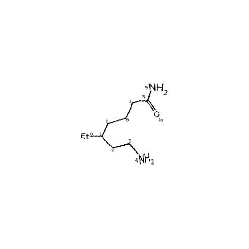 CCC(CCN)CCCC(N)=O